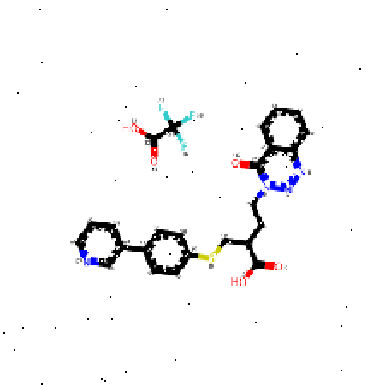 O=C(O)C(CCn1nnc2ccccc2c1=O)CSc1ccc(-c2cccnc2)cc1.O=C(O)C(F)(F)F